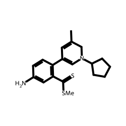 CSC(=S)c1cc(N)ccc1C1=CN(C2CCCC2)CC(C)=C1